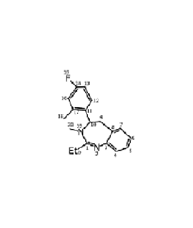 CCC1=Nc2ccccc2CC(c2ccc(F)cc2C)N1C